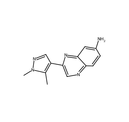 Cc1c(-c2cnc3ccc(N)cc3n2)cnn1C